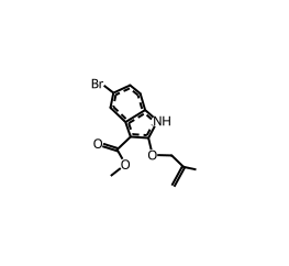 C=C(C)COc1[nH]c2ccc(Br)cc2c1C(=O)OC